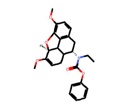 CCN(C(=O)Oc1ccccc1)[C@H]1Cc2ccc(OC)c3c2C2C1CC=C(OC)[C@H]2O3